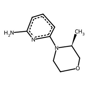 C[C@H]1COCCN1c1cccc(N)n1